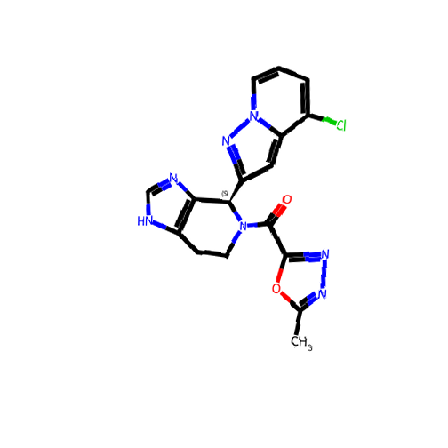 Cc1nnc(C(=O)N2CCc3[nH]cnc3[C@H]2c2cc3c(Cl)cccn3n2)o1